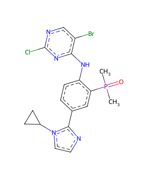 CP(C)(=O)c1cc(-c2nccn2C2CC2)ccc1Nc1nc(Cl)ncc1Br